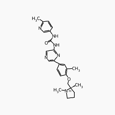 Cc1ccc(NC(=O)Nc2cncc(-c3ccc(OC[C@]4(C)CCCN4C)c(C)c3)n2)cn1